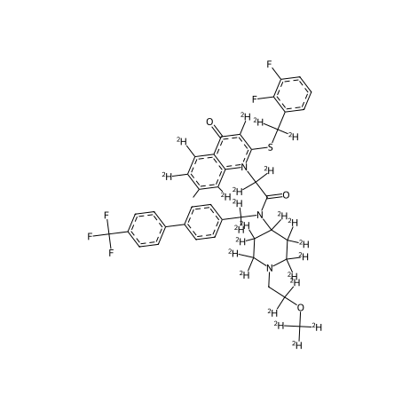 [2H]c1c(C)c([2H])c2c(c1[2H])c(=O)c([2H])c(SC([2H])([2H])c1cccc(F)c1F)n2C([2H])([2H])C(=O)N(C([2H])([2H])c1ccc(-c2ccc(C(F)(F)F)cc2)cc1)C1([2H])C([2H])([2H])C([2H])([2H])N(CC([2H])([2H])OC([2H])([2H])[2H])C([2H])([2H])C1([2H])[2H]